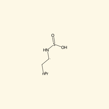 CCCC[CH]NS(=O)O